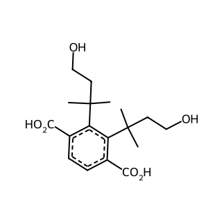 CC(C)(CCO)c1c(C(=O)O)ccc(C(=O)O)c1C(C)(C)CCO